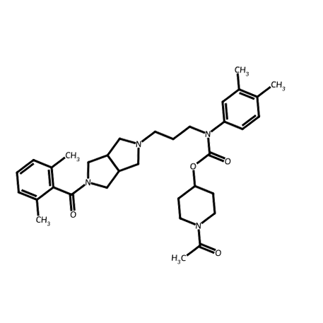 CC(=O)N1CCC(OC(=O)N(CCCN2CC3CN(C(=O)c4c(C)cccc4C)CC3C2)c2ccc(C)c(C)c2)CC1